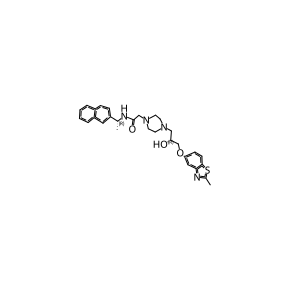 Cc1nc2cc(OC[C@H](O)CN3CCN(CC(=O)N[C@H](C)c4ccc5ccccc5c4)CC3)ccc2s1